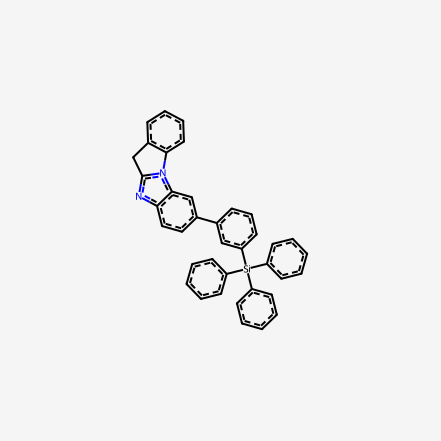 c1ccc([Si](c2ccccc2)(c2ccccc2)c2cccc(-c3ccc4nc5n(c4c3)-c3ccccc3C5)c2)cc1